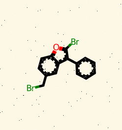 BrCc1ccc2oc(Br)c(-c3ccccc3)c2c1